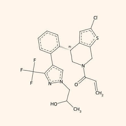 C=CC(=O)N1Cc2sc(Cl)cc2[C@@H](c2ccccc2-c2cn(CC(C)O)nc2C(F)(F)F)C1